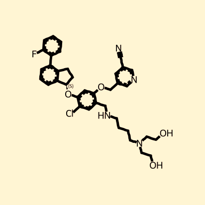 N#Cc1cncc(COc2cc(O[C@H]3CCc4c(-c5ccccc5F)cccc43)c(Cl)cc2CNCCCCN(CCO)CCO)c1